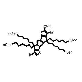 CCCCCCCCCCCCCCCCC1(CCCCCCCCCCCCCCCC)c2cc3c(cc2-c2scc(Br)c21)C(CCCCCCCCCCCCCCCC)(CCCCCCCCCCCCCCCC)c1c-3sc(C=O)c1Br